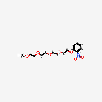 COCCOCCOCCOCCOc1ccccc1[N+](=O)[O-]